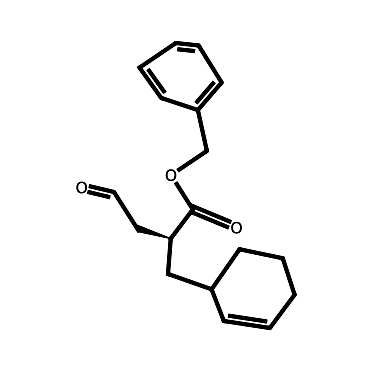 O=CC[C@H](CC1C=CCCC1)C(=O)OCc1ccccc1